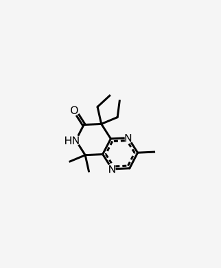 CCC1(CC)C(=O)NC(C)(C)c2ncc(C)nc21